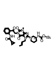 CC=CCn1c(N2CCC[C@@H](NC(=O)OC(C)(C)C)C2)nc2c1c(=O)n(CC(=O)c1ccccc1NC(=O)C1CC1)c(=O)n2C